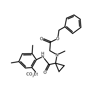 CCOC(=O)c1cc(C)cc(C)c1NC(=O)C1(N(C)CC(=O)OCc2ccccc2)CC1